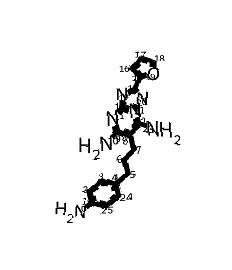 Nc1ccc(CCCc2c(N)nc3nc(-c4ccco4)nn3c2N)cc1